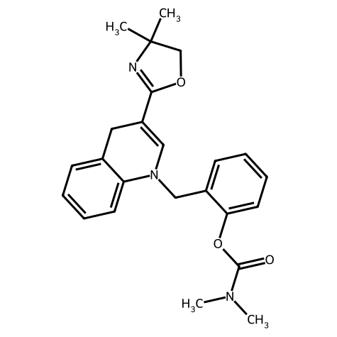 CN(C)C(=O)Oc1ccccc1CN1C=C(C2=NC(C)(C)CO2)Cc2ccccc21